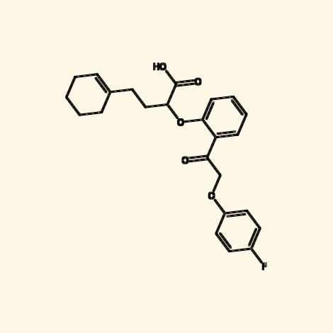 O=C(COc1ccc(F)cc1)c1ccccc1OC(CCC1=CCCCC1)C(=O)O